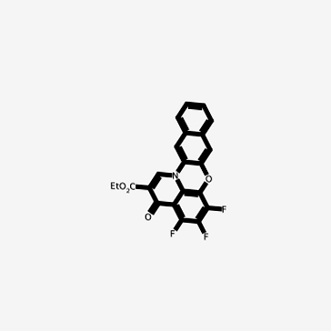 CCOC(=O)c1cn2c3c(c(F)c(F)c(F)c3c1=O)Oc1cc3ccccc3cc1-2